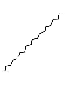 CCCCCCCCCCCCCCCCCCCCCCOCCCCCCCCCCCCC